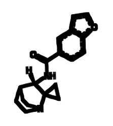 O=C(N[C@H]1C2CCN(CC2)C12CC2)c1ccc2occc2c1